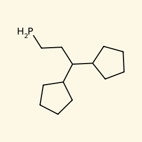 PCCC(C1CCCC1)C1CCCC1